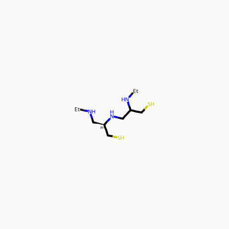 CCNC[C@H](CS)NCC(CS)NCC